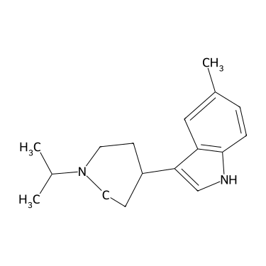 Cc1ccc2[nH]cc(C3CCN(C(C)C)CC3)c2c1